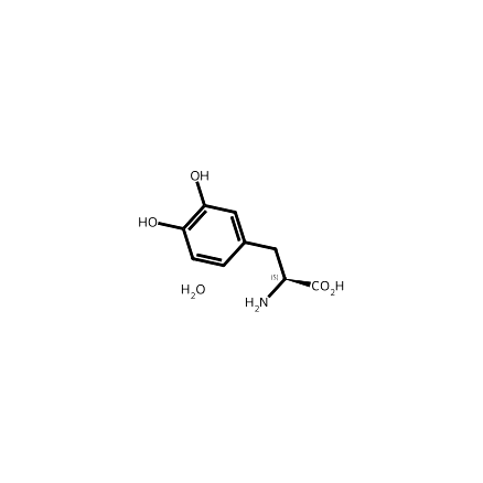 N[C@@H](Cc1ccc(O)c(O)c1)C(=O)O.O